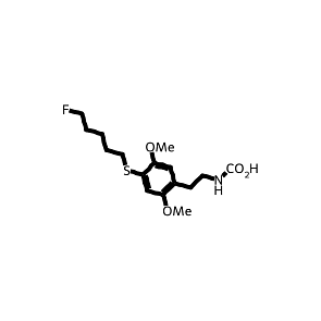 COc1cc(SCCCCCF)c(OC)cc1CCNC(=O)O